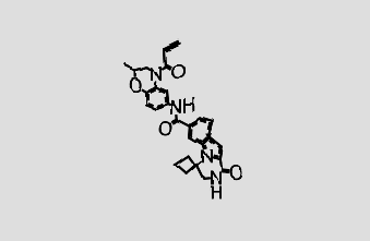 C=CC(=O)N1CC(C)Oc2ccc(NC(=O)c3ccc4cc5n(c4c3)C3(CCC3)CNC5=O)cc21